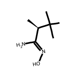 C[C@H](/C(N)=N/O)C(C)(C)C